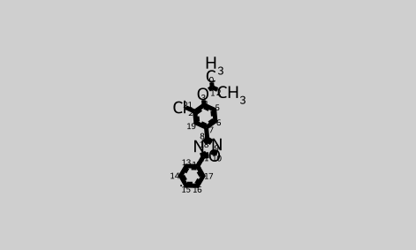 CC(C)Oc1ccc(-c2noc(-c3cc[c]cc3)n2)cc1Cl